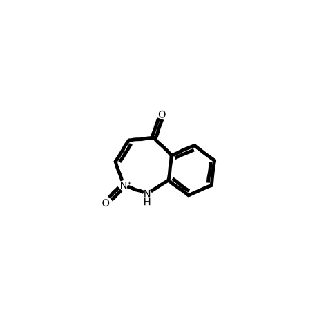 O=c1cc[n+](=O)[nH]c2ccccc12